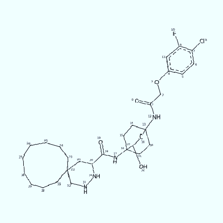 O=C(COc1ccc(Cl)c(F)c1)NC12CCC(NC(=O)C3CC4(CCCCCCCCC4)CNN3)(CC1)C(O)C2